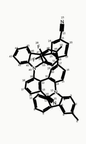 Cc1ccc2c(c1)c1ccccc1n2-c1ccc(-c2ccc(C#N)cc2C(F)(F)F)cc1-c1c(C#N)cccc1-n1c2ccccc2c2cc(C)ccc21